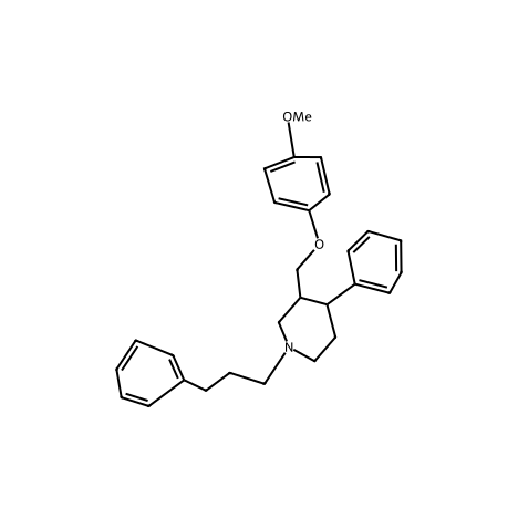 COc1ccc(OCC2CN(CCCc3ccccc3)CCC2c2ccccc2)cc1